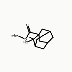 CCCCCCOC(=O)C12CC3CC(CC(C3)C1(C)O)C2